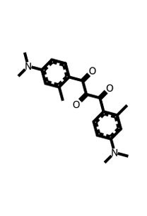 Cc1cc(N(C)C)ccc1C(=O)C(=O)C(=O)c1ccc(N(C)C)cc1C